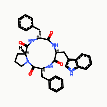 O=C1N[C@@H](Cc2ccccc2)C(=O)N2CCC[C@@H]2C(=O)N[C@H](Cc2ccccc2)C(=O)N[C@H]1Cc1c[nH]c2ccccc12